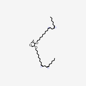 CCCCC/C=C\C/C=C\CCCCCCCCOC(C=O)C(OCCCCCCCC/C=C\C/C=C\CCCCC)N(C)C